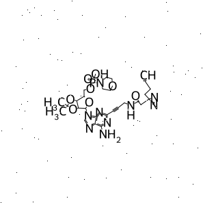 C#CCCC1(CC(=O)NCC#Cc2nc(N)c3ncn(C4OC(COP(=O)(O)N5CCOCC5)C5OC(C)(C)OC54)c3n2)N=N1